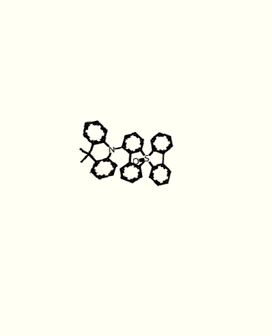 CC1(C)c2ccccc2N(c2cccc3c2-c2ccccc2S32(=O)c3ccccc3-c3ccccc32)c2ccccc21